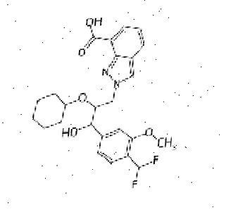 COc1cc(C(O)C(Cn2cc3cccc(C(=O)O)c3n2)OC2CCCCC2)ccc1C(F)F